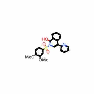 COc1ccc(S(=O)(=O)N2C=C(c3ccccn3)c3ccccc3C2O)cc1OC